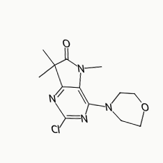 CN1C(=O)C(C)(C)c2nc(Cl)nc(N3CCOCC3)c21